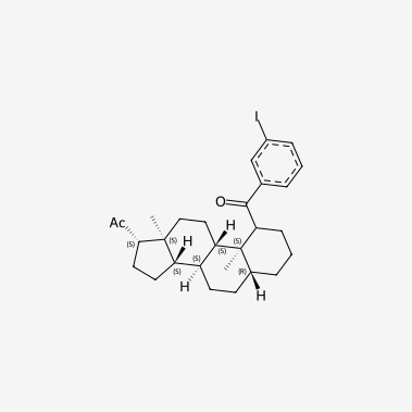 CC(=O)[C@H]1CC[C@H]2[C@@H]3CC[C@H]4CCCC(C(=O)c5cccc(I)c5)[C@]4(C)[C@H]3CC[C@]12C